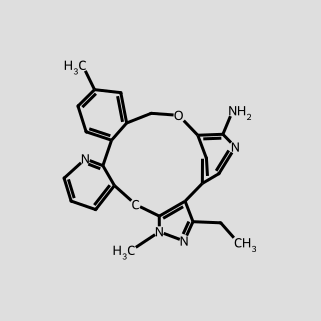 CCc1nn(C)c2c1-c1cnc(N)c(c1)OCc1cc(C)ccc1-c1ncccc1C2